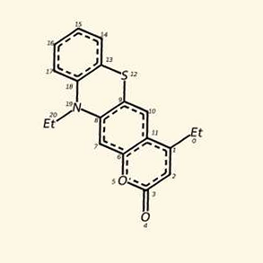 CCc1cc(=O)oc2cc3c(cc12)Sc1ccccc1N3CC